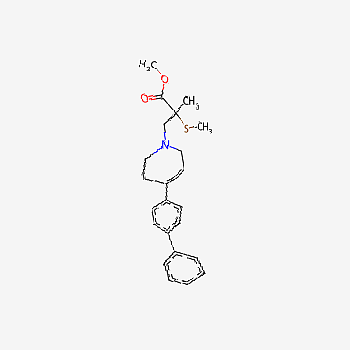 COC(=O)C(C)(CN1CC=C(c2ccc(-c3ccccc3)cc2)CC1)SC